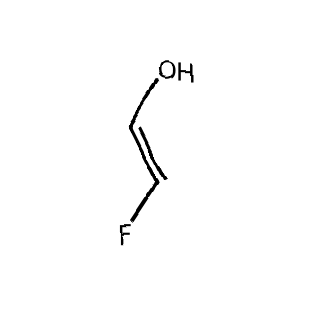 OC=CF